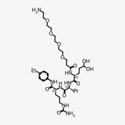 CCc1ccc(NC(=O)[C@H](CCCNC(N)=O)NC(=O)[C@@H](NC(=O)[C@H](CCC(O)O)NC(=O)CCOCCOCCOCCOCCN)C(C)C)cc1